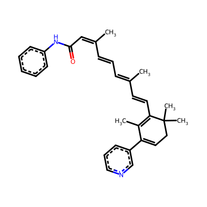 CC1=C(/C=C/C(C)=C/C=C/C(C)=C\C(=O)Nc2ccccc2)C(C)(C)CC=C1c1cccnc1